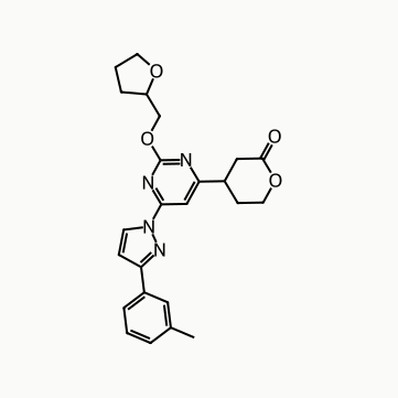 Cc1cccc(-c2ccn(-c3cc(C4CCOC(=O)C4)nc(OCC4CCCO4)n3)n2)c1